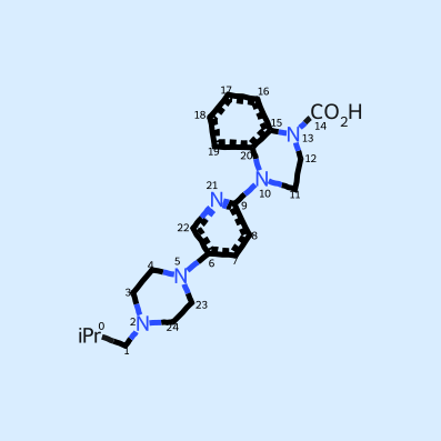 CC(C)CN1CCN(c2ccc(N3CCN(C(=O)O)c4ccccc43)nc2)CC1